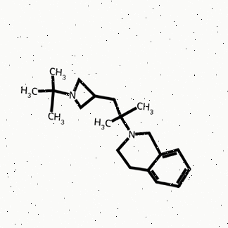 CC(C)(C)N1CC(CC(C)(C)N2CCc3ccccc3C2)C1